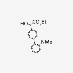 CCOC(=O)C(O)c1ccc(-c2ccccc2NC)cc1